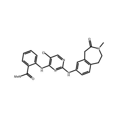 CNC(=O)c1ccccc1Nc1nc(Nc2ccc3c(c2)CC(=O)N(C)CC3)ncc1Cl